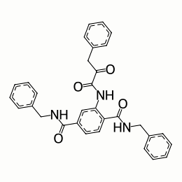 O=C(Cc1ccccc1)C(=O)Nc1cc(C(=O)NCc2ccccc2)ccc1C(=O)NCc1ccccc1